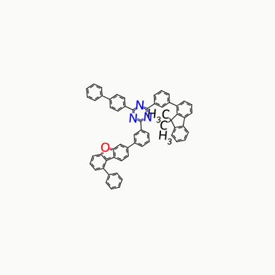 CC1(C)c2ccccc2-c2cccc(-c3cccc(-c4nc(-c5ccc(-c6ccccc6)cc5)nc(-c5cccc(-c6ccc7c(c6)oc6cccc(-c8ccccc8)c67)c5)n4)c3)c21